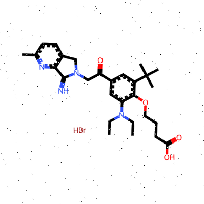 Br.CCN(CC)c1cc(C(=O)CN2Cc3ccc(C)nc3C2=N)cc(C(C)(C)C)c1OCCCC(=O)O